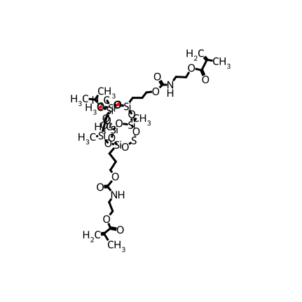 C=C(C)C(=O)OCCNC(=O)OCCC[Si]12OSO[Si]3(C)O[Si](C)(O[Si]4(C)O[Si](C)(O[Si](C)(OC(C)C)O[Si](CCCOC(=O)NCCOC(=O)C(=C)C)(O3)O4)O1)O2